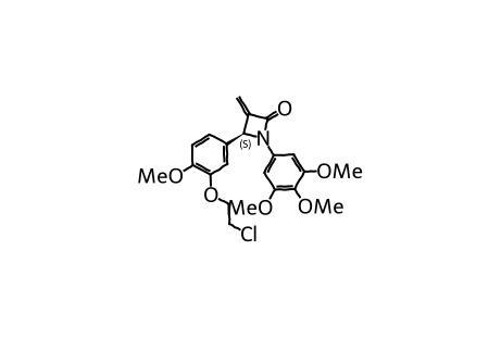 C=C1C(=O)N(c2cc(OC)c(OC)c(OC)c2)[C@H]1c1ccc(OC)c(OCCCl)c1